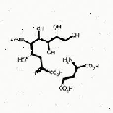 CC(=O)N[C@@H]([C@@H](O)[C@H](O)[C@H](O)CO)[C@@H](O)CC(=O)C(=O)O.NC(CCC(=O)O)C(=O)O